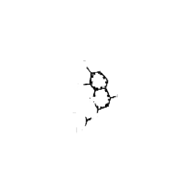 Cc1c(F)ccc2c(O)cc(OC(C)C)nc12